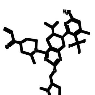 C=CC(=O)N1CCN(c2nc(OCC3CCCN3C)nc3c2C[C@H](C(C)C)[C@@H](c2nc(N)cc(C)c2C(F)(F)F)C3)C(C)C1